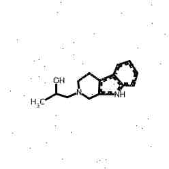 CC(O)CN1CCc2c([nH]c3ccccc23)C1